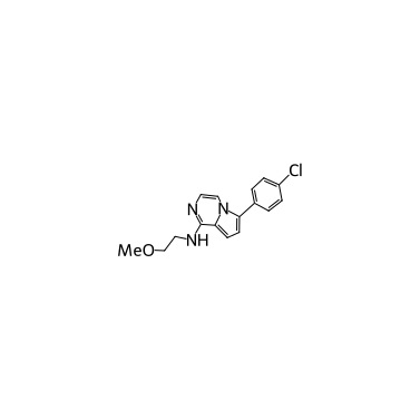 COCCNc1nccn2c(-c3ccc(Cl)cc3)ccc12